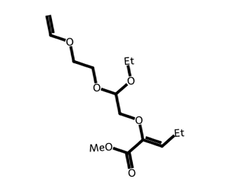 C=COCCOC(COC(=CCC)C(=O)OC)OCC